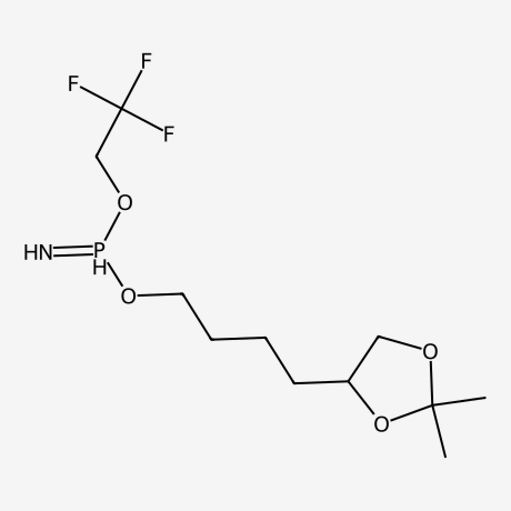 CC1(C)OCC(CCCCO[PH](=N)OCC(F)(F)F)O1